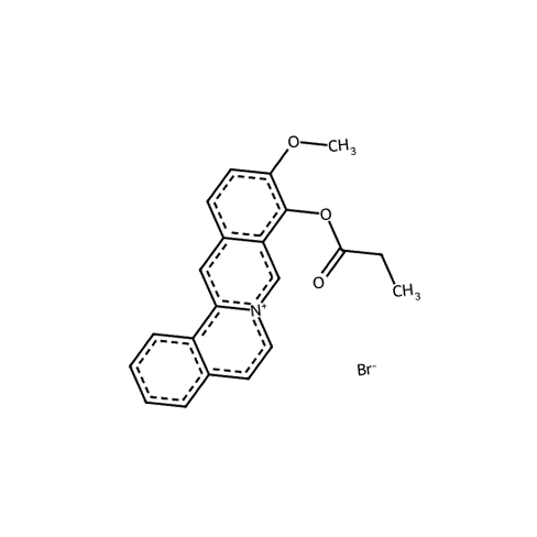 CCC(=O)Oc1c(OC)ccc2cc3c4ccccc4cc[n+]3cc12.[Br-]